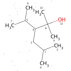 CC(C)CC(C(C)C)C(C)(C)O